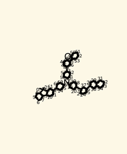 CC1(C)c2ccccc2-c2ccc(-c3ccc(N(c4ccc(-c5cccc(-c6ccc7ccccc7c6)c5)cc4)c4ccc(-c5ccc6oc7ccccc7c6c5)cc4)cc3)cc21